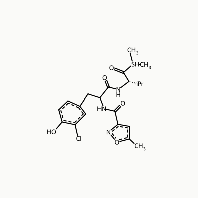 Cc1cc(C(=O)NC(Cc2ccc(O)c(Cl)c2)C(=O)N[C@H](C(=O)[SH](C)C)C(C)C)no1